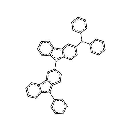 c1ccc(N(c2ccccc2)c2ccc3c(c2)c2ccccc2n3-c2ccc3c(c2)c2ccccc2n3-c2cccnc2)cc1